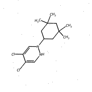 CC1(C)CC(N2C=C(Cl)C(Cl)=CN2)CC(C)(C)C1